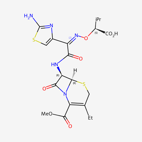 CCC1=C(C(=O)OC)N2C(=O)[C@@H](NC(=O)/C(=N\O[C@H](C(=O)O)C(C)C)c3csc(N)n3)[C@H]2SC1